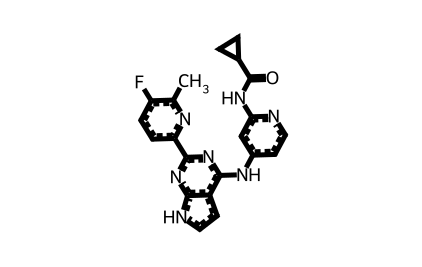 Cc1nc(-c2nc(Nc3ccnc(NC(=O)C4CC4)c3)c3cc[nH]c3n2)ccc1F